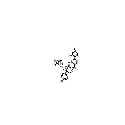 CNC(=O)NCCC[C@@]1(c2ccc(F)cc2)CCN([C@@H](C)c2ccc(-c3ccc(F)cc3F)cc2)C(=O)O1